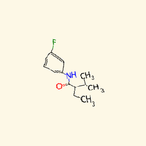 CCC(C(=O)Nc1cccc(F)c1)C(C)C